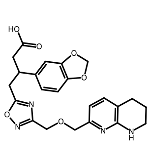 O=C(O)CC(Cc1nc(COCc2ccc3c(n2)NCCC3)no1)c1ccc2c(c1)OCO2